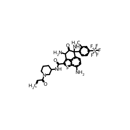 C=CC(=O)N1CCCC(NC(=O)c2sc3c(N)ccc4c3c2C(N)C(=O)C4(N)c2ccc(S(F)(F)(F)(F)F)cc2C)C1